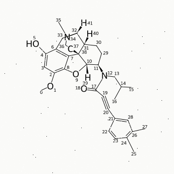 COc1cc(O)c2c3c1O[C@H]1[C@H](N(CC(C)C)C(=O)C#Cc4ccc(C)c(C)c4)CC[C@H]4[C@@H](C2)N(C)CC[C@@]341